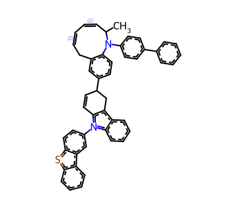 CC1/C=C\C=C/Cc2cc(C3C=Cc4c(c5ccccc5n4-c4ccc5sc6ccccc6c5c4)C3)ccc2N1c1ccc(-c2ccccc2)cc1